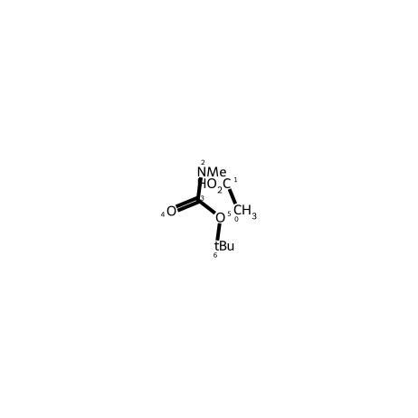 CC(=O)O.CNC(=O)OC(C)(C)C